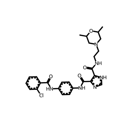 CC1CN(CCNC(=O)c2[nH]cnc2C(=O)Nc2ccc(NC(=O)c3ccccc3Cl)cc2)CC(C)O1